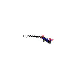 CCCCCCCCCCCCCCCCS(=O)(=O)N1CCN(c2nc(Cc3ccccc3[N+](=O)[O-])ns2)C(C)C1